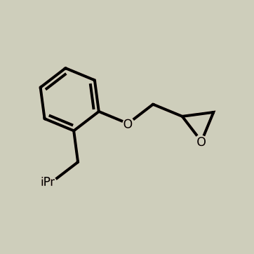 CC(C)Cc1ccccc1OCC1CO1